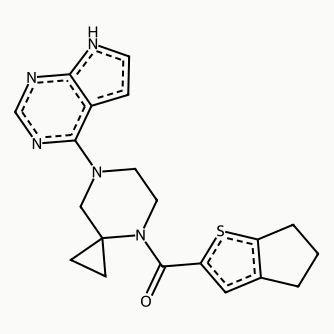 O=C(c1cc2c(s1)CCC2)N1CCN(c2ncnc3[nH]ccc23)CC12CC2